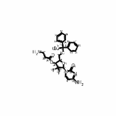 CC(C)(C)C(OCC1OC(n2ccc(N)nc2=O)C(F)(F)C1OC(=O)CCN)(c1ccccc1)c1ccccc1